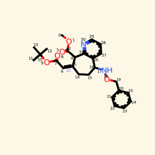 COC(=O)C1/C(=C\C(=O)OC(C)(C)C)CCC(NOCc2ccccc2)c2cccnc21